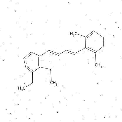 CCc1cccc(C=CC=Cc2c(C)cccc2C)c1CC